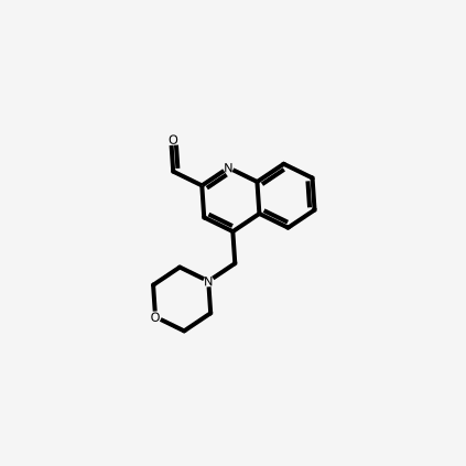 O=Cc1cc(CN2CCOCC2)c2ccccc2n1